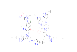 CCOC(=O)c1cn(-c2cc3c(cc2F)c(=O)c(CN(Cc2ccnc(C)c2)[C@H]2CCCN(c4ccc(C)nc4)C2)cn3C2CC2)cn1.Cc1ccc(N2CCC[C@H](N(Cc3ccnc(C)c3)Cc3cn(C4CC4)c4cc(-n5cnc(C(N)=O)c5)c(F)cc4c3=O)C2)cn1